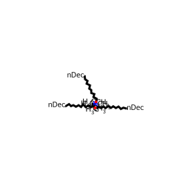 CCCCCCCCCCCCCCCCCCCCCC(C)(C)N(C(C)(C)CCCCCCCCCCCCCCCCCCCCC)C(C)(C)CCCCCCCCCCCCCCCCCCCCC